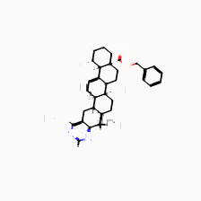 Cc1nc(C(=O)O)c2c(n1)C(C)(C)[C@@H]1CC[C@]3(C)[C@H](CC=C4[C@@H]5[C@@H](C)[C@H](C)CC[C@]5(C(=O)OCc5ccccc5)CC[C@]43C)[C@@]1(C)C2